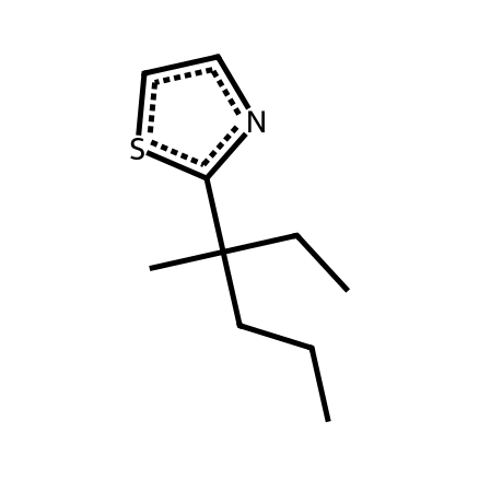 CCCC(C)(CC)c1nccs1